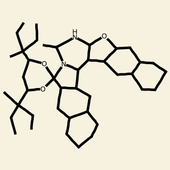 CCC(C)(CC)C1CC(C(C)(CC)CC)OC2(O1)C1CC3CCCCC3CC1C1C3C(NC(C)N12)OC1CC2CCCCC2CC13